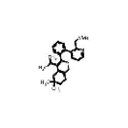 C=C(C)C1=C(c2ccccc2-c2cccnc2CNC)SCC2=C1CC(C)(C)CC2